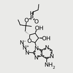 CCC[PH](=O)OC(C)(CC)C[C@H]1OC(n2c(N=[N+]=[N-])nc3c(N)ncnc32)[C@H](O)[C@@H]1O